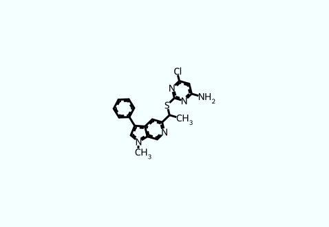 CC(Sc1nc(N)cc(Cl)n1)c1cc2c(-c3ccccc3)cn(C)c2cn1